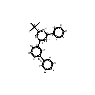 CC(C)(C)c1nc(-c2ccccc2)nc(-c2cccc(-c3ccccc3)c2)n1